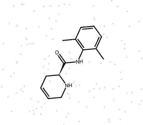 Cc1cccc(C)c1NC(=O)[C@@H]1CC=CCN1